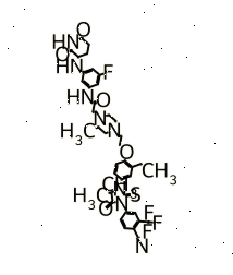 CCc1cc(N2C(=S)N(c3ccc(C#N)c(C(F)(F)F)c3)C(=O)C2(C)C)ccc1OCCN1CCN(CC(=O)Nc2cc(F)cc(NC3CCC(=O)NC3=O)c2)C(C)C1